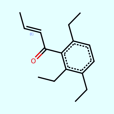 C/C=C/C(=O)c1c(CC)ccc(CC)c1CC